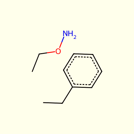 CCON.CCc1ccccc1